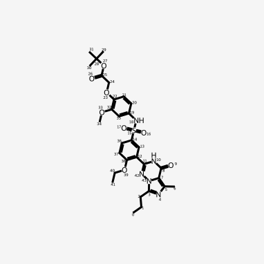 CCCc1nc(C)c2c(=O)[nH]c(-c3cc(S(=O)(=O)Nc4ccc(OCC(=O)OC(C)(C)C)c(OC)c4)ccc3OCC)nn12